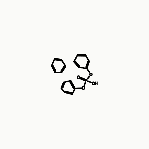 O=P(O)(Oc1ccccc1)Oc1ccccc1.c1ccccc1